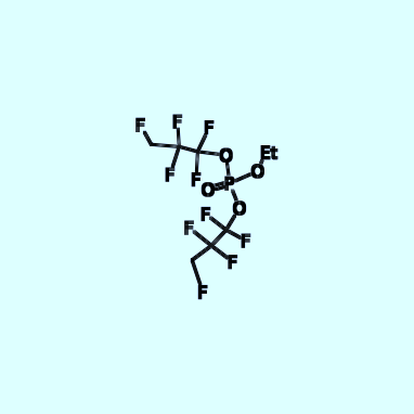 CCOP(=O)(OC(F)(F)C(F)(F)CF)OC(F)(F)C(F)(F)CF